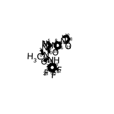 C[C@H]1Cn2ncc(N3CC(N4CCCC4=O)CC3=O)c2CN1C(=O)Nc1cc(F)c(F)c(F)c1